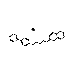 Br.C1=CN(CCCCCc2ccc(-c3ccccc3)cc2)Cc2ccccc21